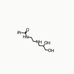 CC(C)C(=O)NCCNCC(O)CO